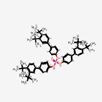 CC(C)(C)c1ccc(-c2ccc(OP(=O)(Oc3ccc(-c4ccc(C(C)(C)C)c(C(C)(C)C)c4)cc3)Oc3ccc(-c4ccc(C(C)(C)C)c(C(C)(C)C)c4)cc3)cc2)cc1C(C)(C)C